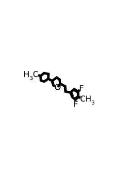 Cc1c(F)cc(CCC2CCC(C3CCC(C)CC3)CO2)cc1F